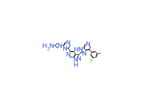 Cc1cc(F)cc(-c2cncc3[nH]c(-c4n[nH]c5cnc(-c6cncc(N7CC(N)C7)n6)cc45)nc23)c1